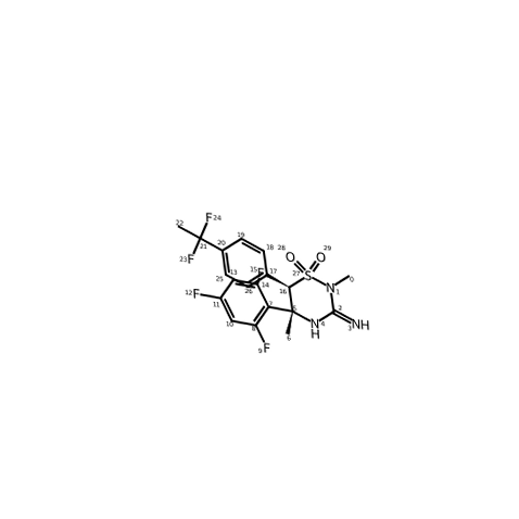 CN1C(=N)N[C@](C)(c2c(F)cc(F)cc2F)[C@@H](c2ccc(C(C)(F)F)cc2)S1(=O)=O